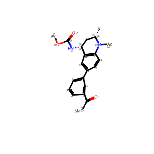 COC(=O)c1cccc(-c2ccc3c(c2)[C@H](NC(=O)OC(C)C)C[C@H](C)N3C(C)=O)c1